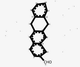 O=Cc1ccc2cc3c(cc2c1)Cc1ccccc1C3